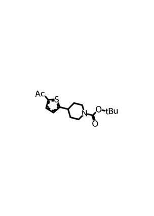 CC(=O)c1ccc(C2CCN(C(=O)OC(C)(C)C)CC2)s1